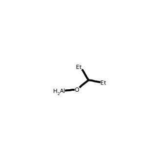 CCC(CC)[O][AlH2]